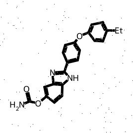 CCc1ccc(Oc2ccc(-c3nc4cc(OC(N)=O)ccc4[nH]3)cc2)cc1